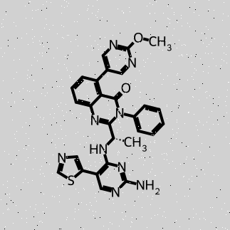 COc1ncc(-c2cccc3nc([C@H](C)Nc4nc(N)ncc4-c4cncs4)n(-c4ccccc4)c(=O)c23)cn1